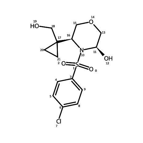 O=S(=O)(c1ccc(Cl)cc1)N1[C@H](O)COC[C@@H]1C1(CO)CC1